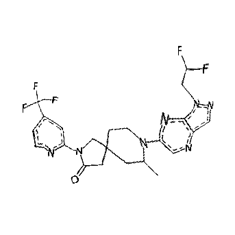 CC1CC2(CCN1c1cnc3cnn(CC(F)F)c3n1)CC(=O)N(c1cc(C(F)(F)F)ccn1)C2